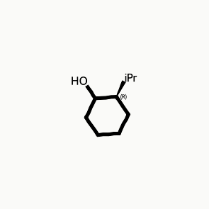 CC(C)[C@H]1CCCCC1O